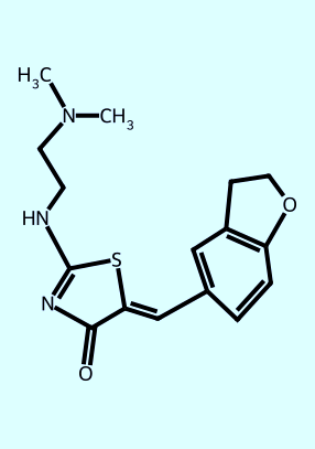 CN(C)CCNC1=NC(=O)C(=Cc2ccc3c(c2)CCO3)S1